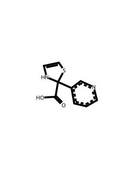 O=C(O)C1(c2cccnc2)NC=CS1